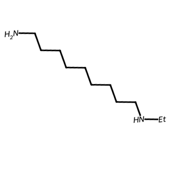 CCNCCCCCCCCCN